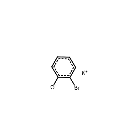 [K+].[O-]c1ccccc1Br